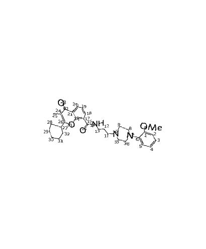 COc1ccccc1N1CCN(CCCNC(=O)c2cccc3c(=O)c(C)c(C4CCCCC4)oc23)CC1